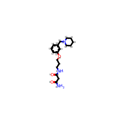 NC(=O)CC(=O)NCCCOc1cccc(CN2CCCCC2)c1